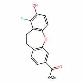 COC(=O)c1ccc2c(c1)Oc1ccc(O)c(F)c1CC2